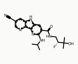 CC(C)Nc1nc2c(cc1C(=O)NC[C@@H](F)C(C)(C)O)[nH]c1cc(C#N)cnc12